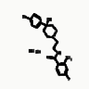 Cl.Cl.Nc1cc(F)ccc1C(=O)NCCN1CCC(O)(c2ccc(Cl)cc2)CC1